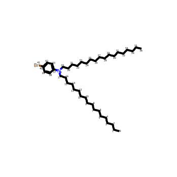 CCCCCCCCCCCCCCCCCCN(CCCCCCCCCCCCCCCCCC)c1ccc(Br)cc1